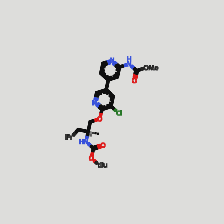 COC(=O)Nc1cc(-c2cnc(OC[C@](C)(CC(C)C)NC(=O)OC(C)(C)C)c(Cl)c2)ccn1